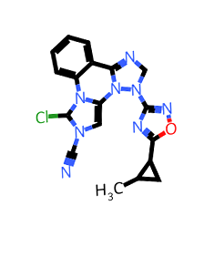 CC1CC1c1nc(N2CN=C3c4ccccc4N4C(=CN(C#N)C4Cl)N32)no1